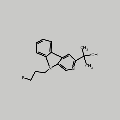 CC(C)(O)c1cc2c3ccccc3n(CCCF)c2cn1